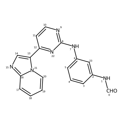 O=CNc1cccc(Nc2nccc(-c3cnc4ccccn34)n2)c1